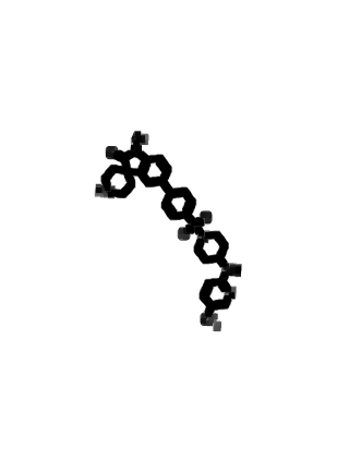 CC(=O)N1C(=O)C2(CCNCC2)c2cc(-c3ccc(S(=O)(=O)N4CCC(Nc5ccc(C(F)(F)F)cn5)CC4)cc3)ccc21